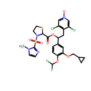 Cn1ccnc1S(=O)(=O)N1CCSC1C(=O)OC(Cc1c(Cl)c[n+]([O-])cc1Cl)c1ccc(OC(F)F)c(OCC2CC2)c1